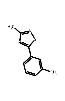 Cc1cccc(-c2nc(C)ns2)c1